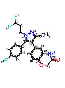 Cc1nn(CCC(F)F)c(-c2ccc(F)cc2)c1-c1ccc2c(c1)NC(=O)CO2